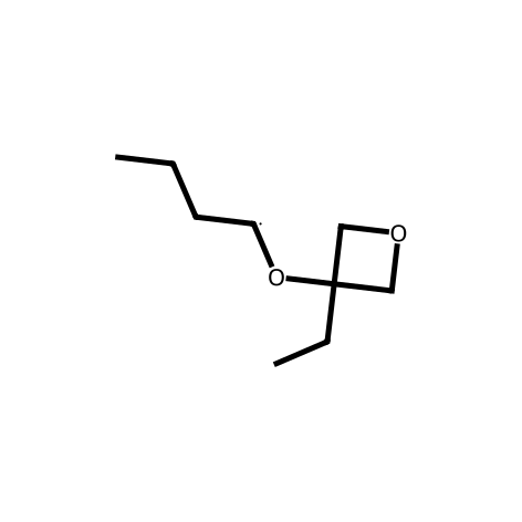 CCC[CH]OC1(CC)COC1